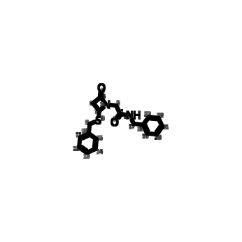 O=C(CN1C(=O)CC1SCc1ccccc1)NCc1ccccc1